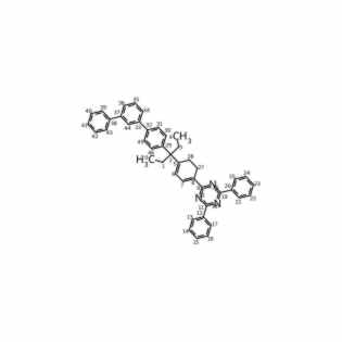 CCC(CC)(C1=CC=C(c2nc(-c3ccccc3)nc(-c3ccccc3)n2)CC1)c1ccc(-c2cccc(-c3ccccc3)c2)cc1